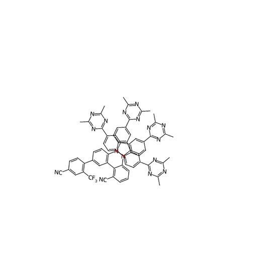 Cc1nc(C)nc(-c2ccc3c(c2)c2cc(-c4nc(C)nc(C)n4)ccc2n3-c2ccc(-c3ccc(C#N)cc3C(F)(F)F)cc2-c2c(C#N)cccc2-n2c3ccc(-c4nc(C)nc(C)n4)cc3c3cc(-c4nc(C)nc(C)n4)ccc32)n1